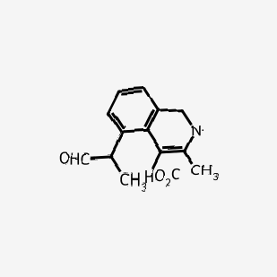 CC1=C(C(=O)O)c2c(cccc2C(C)C=O)C[N]1